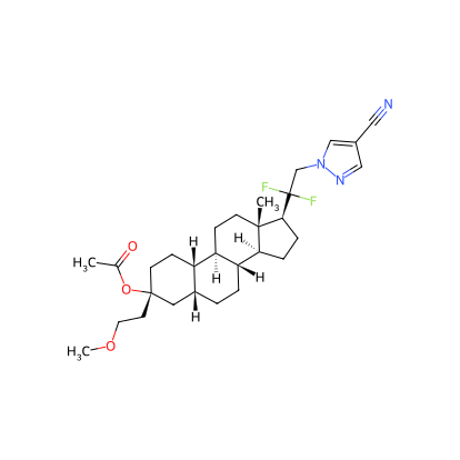 COCC[C@@]1(OC(C)=O)CC[C@H]2[C@H](CC[C@@H]3[C@@H]2CC[C@]2(C)[C@@H](C(F)(F)Cn4cc(C#N)cn4)CC[C@@H]32)C1